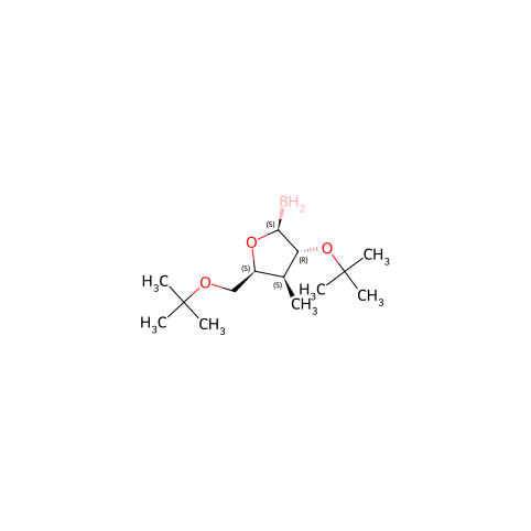 B[C@@H]1O[C@H](COC(C)(C)C)[C@H](C)[C@H]1OC(C)(C)C